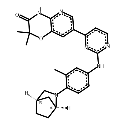 Cc1cc(Nc2nccc(-c3cnc4c(c3)OC(C)(C)C(=O)N4)n2)ccc1N1C[C@@H]2CC[C@H]1C2